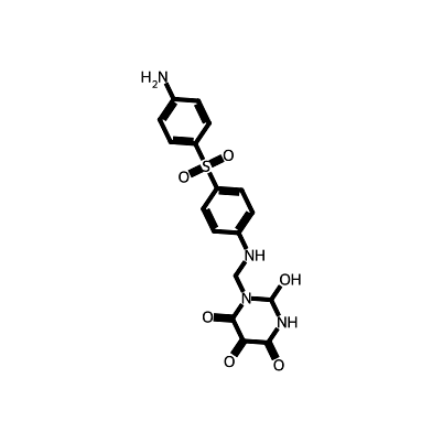 Nc1ccc(S(=O)(=O)c2ccc(NCN3C(=O)C(=O)C(=O)NC3O)cc2)cc1